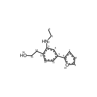 CCNc1cc(-c2ccco2)ccc1CCO